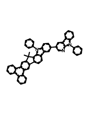 CC1(C)c2cc3c4ccccc4c4ccccc4c3cc2-c2ccc3c4cc(-c5cnc6c(c5)c5ccccc5n6-c5ccccc5)ccc4n(-c4ccccc4)c3c21